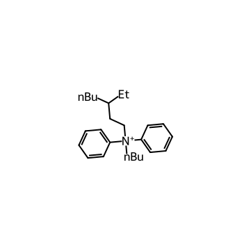 CCCCC(CC)CC[N+](CCCC)(c1ccccc1)c1ccccc1